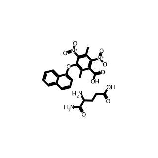 Cc1c(Oc2cccc3ccccc23)c([N+](=O)[O-])c(C)c([N+](=O)[O-])c1C(=O)O.NC(=O)C(N)CCC(=O)O